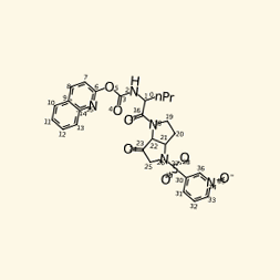 CCCC(NC(=O)Oc1ccc2ccccc2n1)C(=O)N1CCC2C1C(=O)CN2S(=O)(=O)c1ccc[n+]([O-])c1